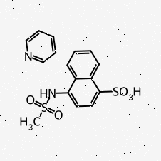 CS(=O)(=O)Nc1ccc(S(=O)(=O)O)c2ccccc12.c1ccncc1